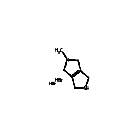 Br.Br.CN1CC2=C(CNC2)C1